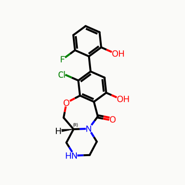 O=C1c2c(O)cc(-c3c(O)cccc3F)c(Cl)c2OC[C@H]2CNCCN12